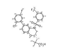 CC(C)(C[C@H]1CN(S(=O)(=O)c2cccc(C(F)(F)F)c2)c2cc(-c3cc(F)ccc3Cl)ccc2O1)C(=O)O